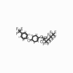 O=S(=O)(OC1=CCC(Oc2ccc(C(F)(F)F)cc2)CC1)C(F)(F)C(F)(F)C(F)(F)C(F)(F)F